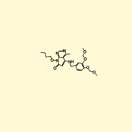 CCCCOn1c(=O)cc(NCc2ccc(OCOC)c(OCOC)c2)c2c(C)ncnc21